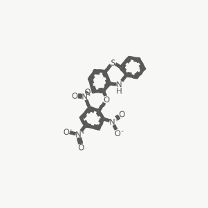 O=[N+]([O-])c1cc([N+](=O)[O-])c(Oc2cccc3c2Nc2ccccc2S3)c([N+](=O)[O-])c1